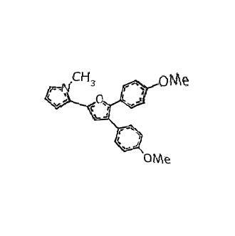 COc1ccc(-c2cc(-c3cccn3C)oc2-c2ccc(OC)cc2)cc1